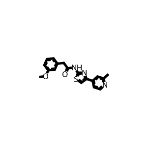 COc1cccc(CC(=O)Nc2nc(-c3ccnc(C)c3)cs2)c1